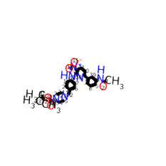 CC(=O)Nc1cccc(-c2ccc([N+](=O)[O-])c(Nc3ccc(CN4CCN(C(=O)OC(C)(C)C)CC4)cc3)n2)c1